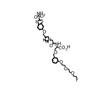 NS(=O)(=O)c1nc2ccc(OCc3cn(CC(=O)NC(COCc4cccc(OCCOCCOCCF)c4)C(=O)O)nn3)cc2s1